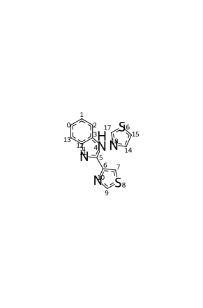 c1ccc2[nH]c(-c3cscn3)nc2c1.c1cscn1